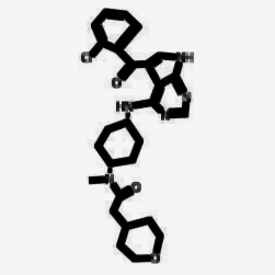 CN(C(=O)CC1CCOCC1)[C@H]1CC[C@@H](Nc2ncnc3[nH]cc(C(=O)c4ccccc4Cl)c23)CC1